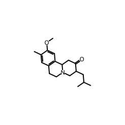 COc1cc2c(cc1C)CCN1CC(CC(C)C)C(=O)CC21